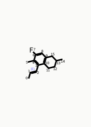 C/C=C/c1c(C)c(F)cc2c1CCC(C)C2